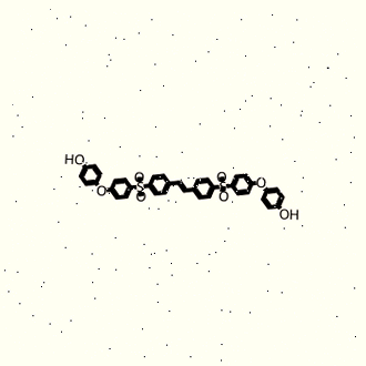 O=S(=O)(c1ccc(C=Cc2ccc(S(=O)(=O)c3ccc(Oc4ccc(O)cc4)cc3)cc2)cc1)c1ccc(Oc2ccc(O)cc2)cc1